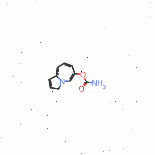 NC(=O)OC1=CN2CC=CC2=CC=C1